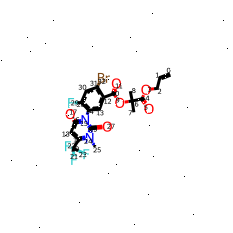 C=CCOC(=O)C(C)(C)OC(=O)c1cc(-n2c(=O)cc(C(F)(F)F)n(C)c2=O)c(F)cc1Br